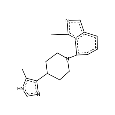 Cc1[nH]cnc1C1CCN(c2cccc3cnc(C)n23)CC1